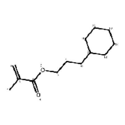 C=C(C)C(=O)OCCCC1[CH]CCCC1